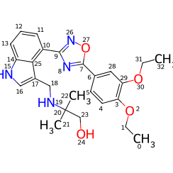 CCOc1ccc(-c2nc(-c3cccc4[nH]cc(CNC(C)(C)CO)c34)no2)cc1OCC